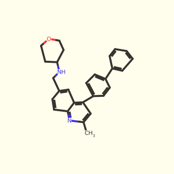 Cc1cc(-c2ccc(-c3ccccc3)cc2)c2cc(CNC3CCOCC3)ccc2n1